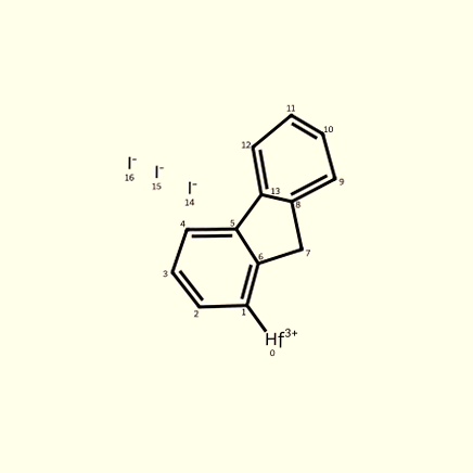 [Hf+3][c]1cccc2c1Cc1ccccc1-2.[I-].[I-].[I-]